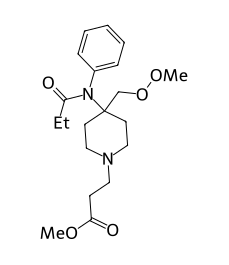 CCC(=O)N(c1ccccc1)C1(COOC)CCN(CCC(=O)OC)CC1